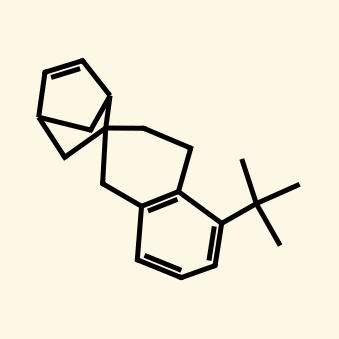 CC(C)(C)c1cccc2c1CCC1(C2)CC2C=CC1C2